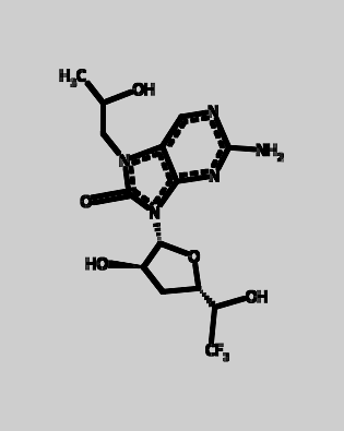 CC(O)Cn1c(=O)n([C@@H]2O[C@H](C(O)C(F)(F)F)C[C@H]2O)c2nc(N)ncc21